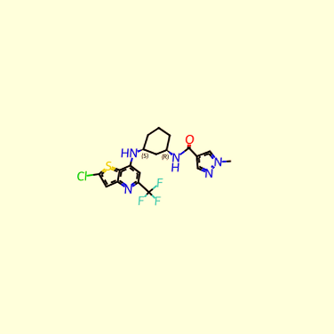 Cn1cc(C(=O)N[C@@H]2CCC[C@H](Nc3cc(C(F)(F)F)nc4cc(Cl)sc34)C2)cn1